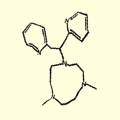 CN1CCN(C)CCN(C(c2ccccn2)c2ccccn2)CC1